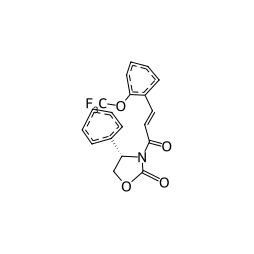 O=C(/C=C/c1ccccc1OC(F)(F)F)N1C(=O)OC[C@@H]1c1ccccc1